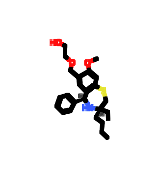 CCCC[C@]1(CC)CSc2cc(OC)c(COCCO)cc2[C@H](c2ccccc2)N1